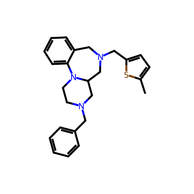 Cc1ccc(CN2Cc3ccccc3N3CCN(Cc4ccccc4)CC3C2)s1